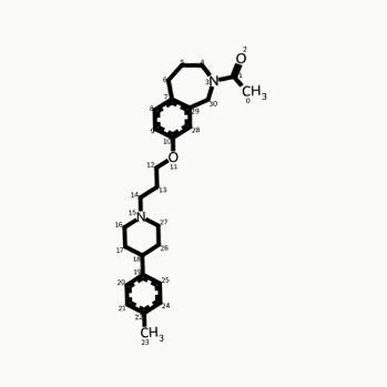 CC(=O)N1CCCc2ccc(OCCCN3CCC(c4ccc(C)cc4)CC3)cc2C1